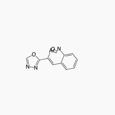 CC(=O)C(=Cc1ccccc1[N+](=O)[O-])c1nnco1